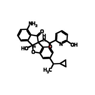 CC(c1ccc2c(c1)O[C@]1(O)c3cccc(N)c3C(=O)C21NC(=O)c1cccc(O)n1)C1CC1